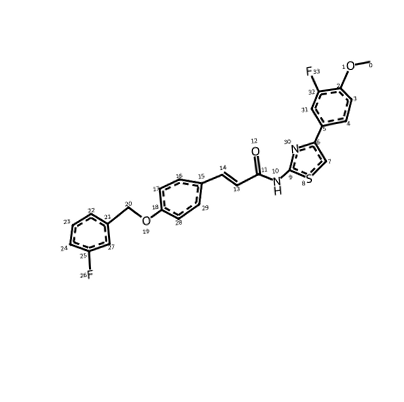 COc1ccc(-c2csc(NC(=O)/C=C/c3ccc(OCc4cccc(F)c4)cc3)n2)cc1F